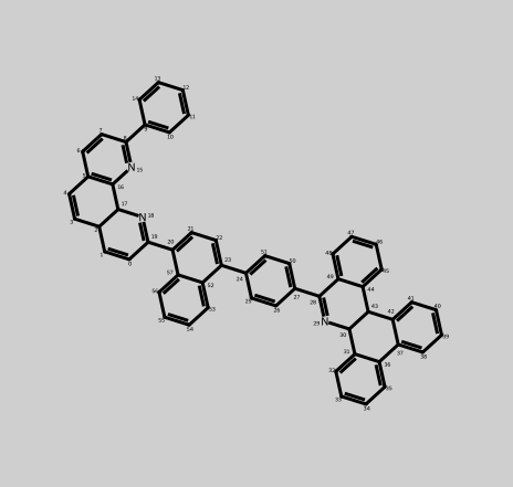 C1=CC2C=Cc3ccc(-c4ccccc4)nc3C2N=C1c1ccc(-c2ccc(C3=NC4c5ccccc5-c5ccccc5C4c4ccccc43)cc2)c2ccccc12